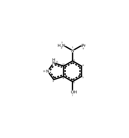 CC(C)N(N)c1ccc(O)c2cn[nH]c12